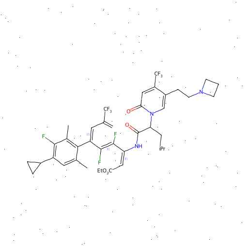 C=C(\C=C(/C(F)=C(F)/C(=C\C(=O)OCC)NC(=O)C(CC(C)C)n1cc(CCN2CCC2)c(C(F)(F)F)cc1=O)c1c(C)cc(C2CC2)c(F)c1C)C(F)(F)F